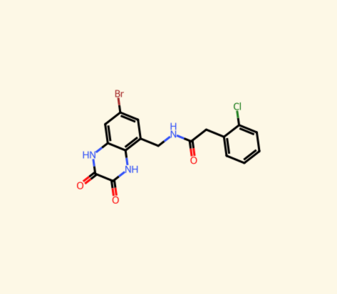 O=C(Cc1ccccc1Cl)NCc1cc(Br)cc2[nH]c(=O)c(=O)[nH]c12